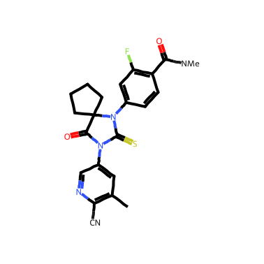 CNC(=O)c1ccc(N2C(=S)N(c3cnc(C#N)c(C)c3)C(=O)C23CCCC3)cc1F